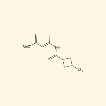 COC(=O)C=C(C)NC(=O)C1CC(C(F)(F)F)C1